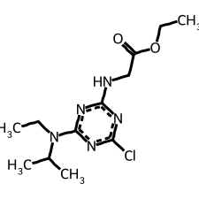 CCOC(=O)CNc1nc(Cl)nc(N(CC)C(C)C)n1